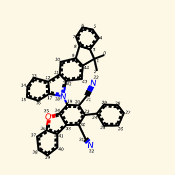 CC1(C)c2ccccc2-c2cc3c4ccccc4n(-c4c(C#N)c(-c5ccccc5)c(C#N)c5c4oc4ccccc45)c3cc21